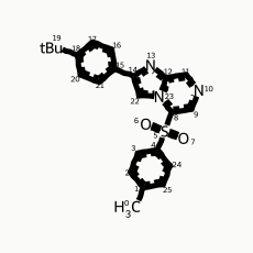 Cc1ccc(S(=O)(=O)c2cncc3nc(-c4ccc(C(C)(C)C)cc4)cn23)cc1